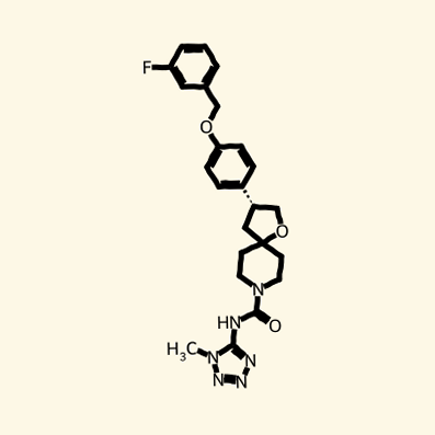 Cn1nnnc1NC(=O)N1CCC2(CC1)C[C@H](c1ccc(OCc3cccc(F)c3)cc1)CO2